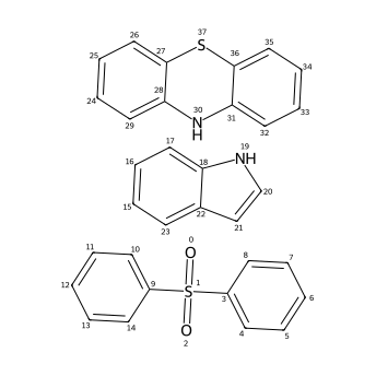 O=S(=O)(c1ccccc1)c1ccccc1.c1ccc2[nH]ccc2c1.c1ccc2c(c1)Nc1ccccc1S2